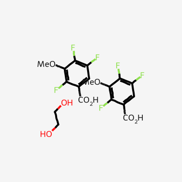 COc1c(F)c(F)cc(C(=O)O)c1F.COc1c(F)c(F)cc(C(=O)O)c1F.OCCO